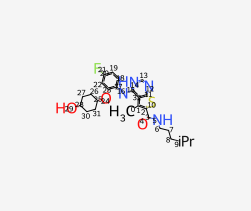 Cc1c(C(=O)NCCCC(C)C)sc2ncnc(Nc3ccc(F)cc3OC3CCC(O)CC3)c12